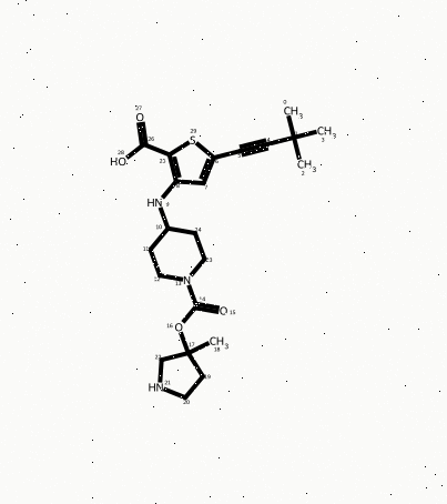 CC(C)(C)C#Cc1cc(NC2CCN(C(=O)OC3(C)CCNC3)CC2)c(C(=O)O)s1